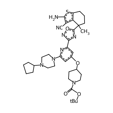 CC(C)(C)OC(=O)N1CCC(Oc2cc(-c3noc(C4(C)CCCc5sc(N)c(C#N)c54)n3)nc(N3CCN(C4CCCC4)CC3)c2)CC1